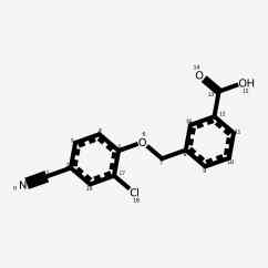 N#Cc1ccc(OCc2cccc(C(=O)O)c2)c(Cl)c1